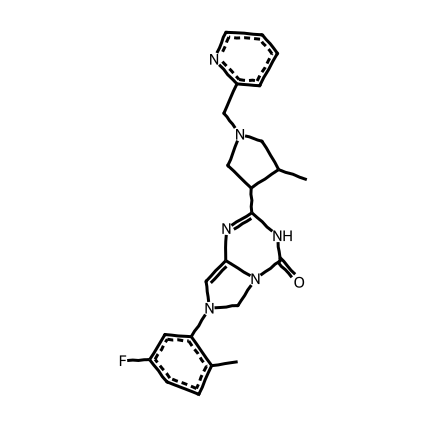 Cc1ccc(F)cc1N1C=C2N=C(C3CN(Cc4ccccn4)CC3C)NC(=O)N2C1